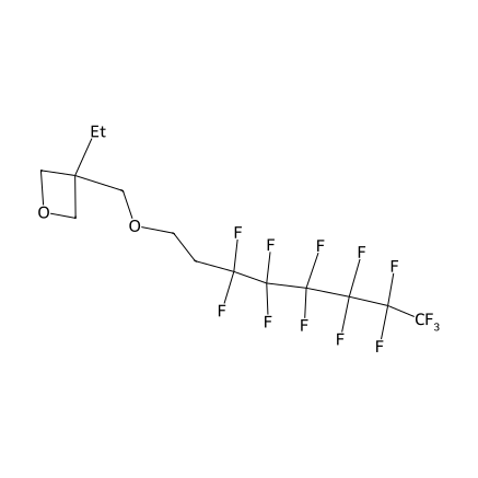 CCC1(COCCC(F)(F)C(F)(F)C(F)(F)C(F)(F)C(F)(F)C(F)(F)F)COC1